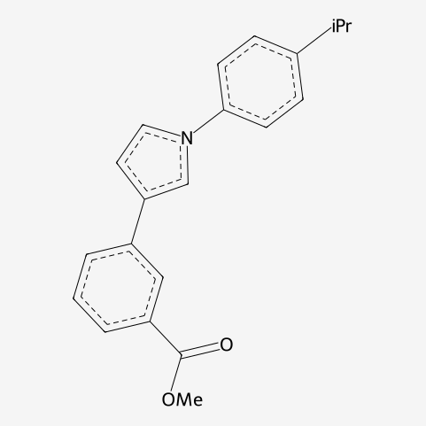 COC(=O)c1cccc(-c2ccn(-c3ccc(C(C)C)cc3)c2)c1